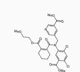 COCCOC(=O)C1=C(C(=O)N(Cc2cncc(C(=O)OC)c2)c2cc(C(=O)OC)c(Cl)cc2Cl)CCCC1